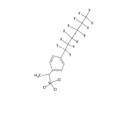 CC(c1ccc(C(F)(F)C(F)(F)C(F)(F)C(F)(F)C(F)(F)C(F)(F)F)cc1)[Si](Cl)(Cl)Cl